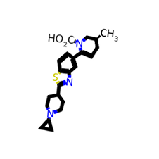 C[C@H]1CC=C(c2ccc3sc(C4CCN(C5CC5)CC4)nc3c2)N(C(=O)O)C1